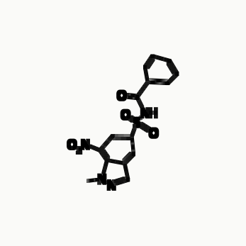 Cn1ncc2cc(S(=O)(=O)NC(=O)c3ccccc3)cc([N+](=O)[O-])c21